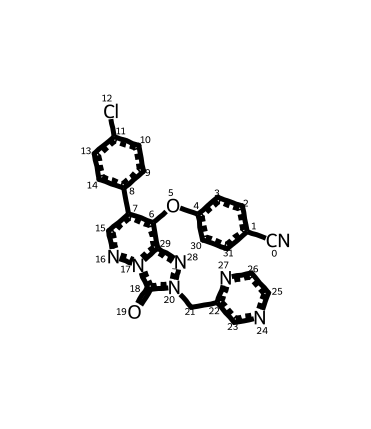 N#Cc1ccc(Oc2c(-c3ccc(Cl)cc3)cnn3c(=O)n(Cc4cnccn4)nc23)cc1